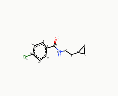 O=C(NCCC1CC1)c1ccc(Cl)cc1